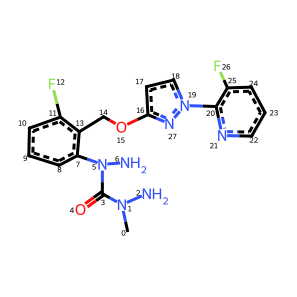 CN(N)C(=O)N(N)c1cccc(F)c1COc1ccn(-c2ncccc2F)n1